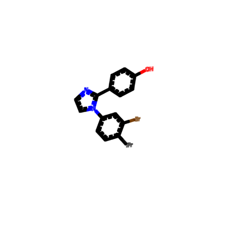 CC(C)c1ccc(-n2ccnc2-c2ccc(O)cc2)cc1Br